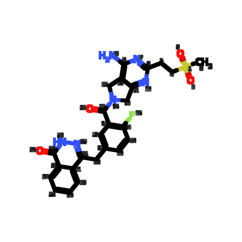 CS(=O)(=O)CCc1nc(N)c2c(n1)CN(C(=O)c1cc(Cc3n[nH]c(=O)c4ccccc34)ccc1F)C2